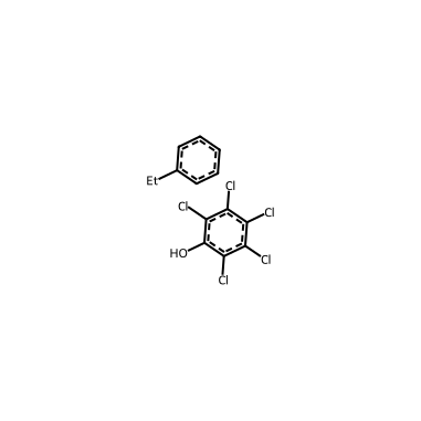 CCc1ccccc1.Oc1c(Cl)c(Cl)c(Cl)c(Cl)c1Cl